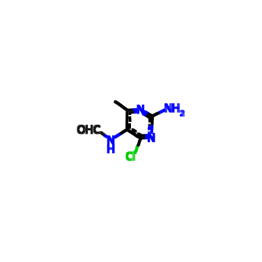 Cc1nc(N)nc(Cl)c1NC=O